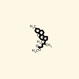 COC(=O)CCC(C)C1CCC2C3CCC4C[C@H](C)CCC4(C)C3CCC12C